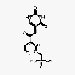 CC[C@H](NOCP(=O)(O)O)C(=O)Cc1c[nH]c(=O)[nH]c1=O